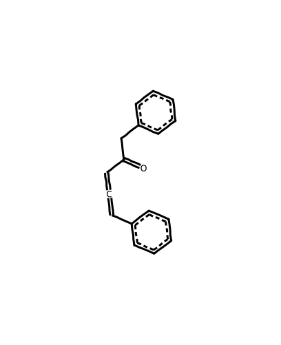 O=C(C=C=Cc1ccccc1)Cc1ccccc1